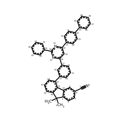 CC1(C)c2ccc(C#N)cc2-c2c(-c3cccc(-c4cc(-c5ccc(-c6ccccc6)cc5)nc(-c5ccccc5)n4)c3)cccc21